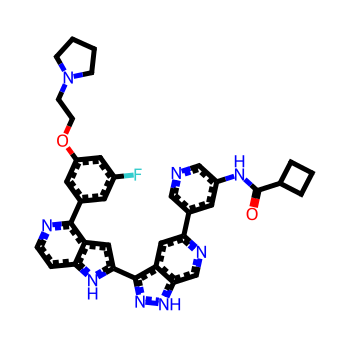 O=C(Nc1cncc(-c2cc3c(-c4cc5c(-c6cc(F)cc(OCCN7CCCC7)c6)nccc5[nH]4)n[nH]c3cn2)c1)C1CCC1